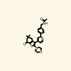 CC(=O)NCc1ccc(-c2cc(-c3c(N4CCOCC4)sc4c3CC(C)(C)CC4=O)ccn2)cc1